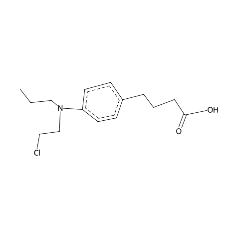 CCCN(CCCl)c1ccc(CCCC(=O)O)cc1